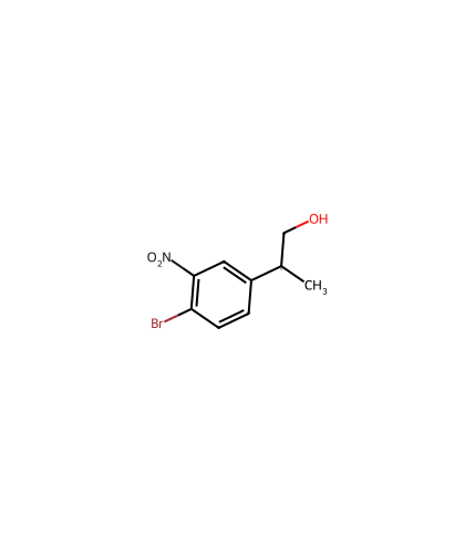 C[C](CO)c1ccc(Br)c([N+](=O)[O-])c1